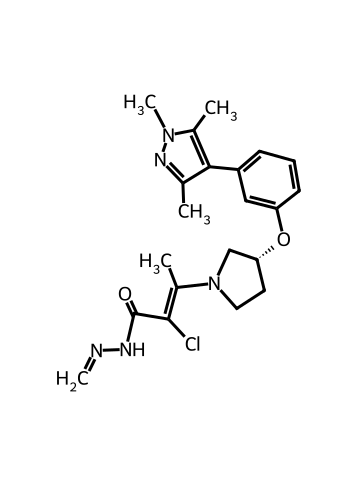 C=NNC(=O)/C(Cl)=C(\C)N1CC[C@@H](Oc2cccc(-c3c(C)nn(C)c3C)c2)C1